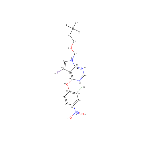 C[Si](C)(C)CCOCn1cc(I)c2c(Oc3ccc([N+](=O)[O-])cc3F)ncnc21